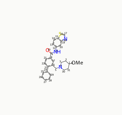 COC1CCN(Cc2cc(C(=O)Nc3ccc4scnc4c3)ccc2-c2ccccc2)CC1